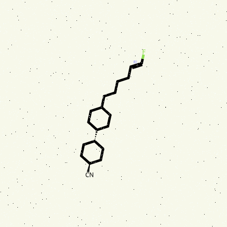 N#C[C@H]1CC[C@H](C2CCC(CCCC/C=C/F)CC2)CC1